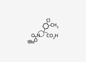 Cc1cc(C2(CC(=O)O)CCN(C(=O)OC(C)(C)C)CC2)ccc1Cl